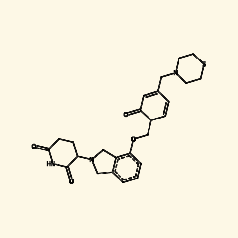 O=C1CCC(N2Cc3cccc(OCC4C=CC(CN5CCSCC5)=CC4=O)c3C2)C(=O)N1